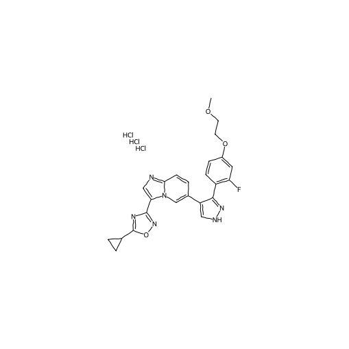 COCCOc1ccc(-c2n[nH]cc2-c2ccc3ncc(-c4noc(C5CC5)n4)n3c2)c(F)c1.Cl.Cl.Cl